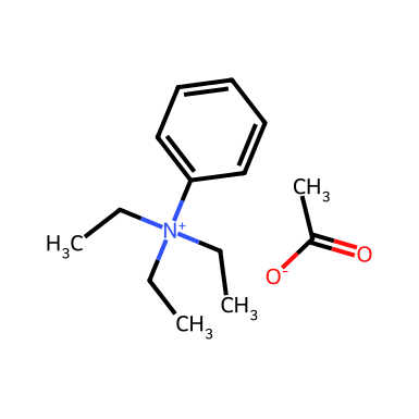 CC(=O)[O-].CC[N+](CC)(CC)c1ccccc1